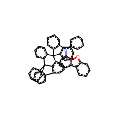 c1ccc(N(c2ccccc2C2(c3ccccc3)c3ccccc3C3(c4ccccc4)c4ccccc4-c4cccc2c43)c2cccc3c2oc2ccccc23)cc1